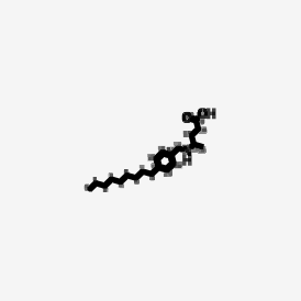 CCCCCCCCCc1ccc(CNC(C)CCC(=O)O)cc1